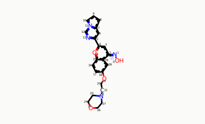 O/N=c1/cc(-c2cc3cccn3cn2)oc2ccc(OCCN3CCOCC3)cc12